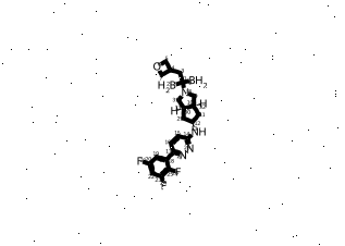 BC(B)(CC1COC1)N1C[C@H]2C[C@H](Nc3ccc(-c4cc(F)cc(F)c4F)nn3)C[C@H]2C1